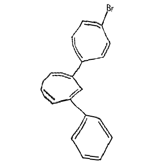 Brc1ccc(-c2cccc(-c3ccccc3)c2)cc1